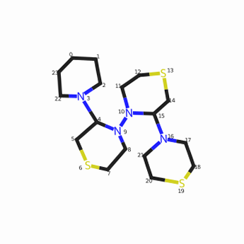 C1CCN(C2CSCCN2N2CCSCC2N2CCSCC2)CC1